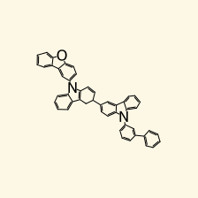 C1=CC(c2ccc3c(c2)c2ccccc2n3-c2cccc(-c3ccccc3)c2)Cc2c1n(-c1ccc3oc4ccccc4c3c1)c1ccccc21